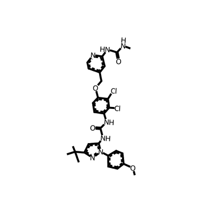 CNC(=O)Nc1cc(COc2ccc(NC(=O)Nc3cc(C(C)(C)C)nn3-c3ccc(OC)cc3)c(Cl)c2Cl)ccn1